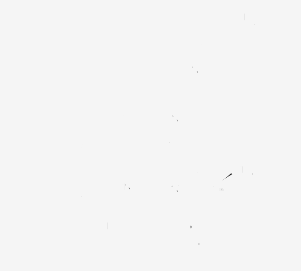 C=CC(=O)N1CCN2C(=O)c3c(N4C[C@@H](C)O[C@H](C)C4)nc(-c4c(O)cccc4F)c(Cl)c3OCC2C1